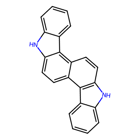 c1ccc2c(c1)[nH]c1ccc3c(ccc4[nH]c5ccccc5c43)c12